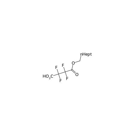 CCCCCCCCOC(=O)C(F)(F)C(F)(F)C(=O)O